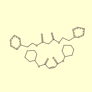 O=C(/C=C\C(=O)OC1CCCCC1)OC1CCCCC1.O=C(CC(=O)OCCc1ccccc1)OCCc1ccccc1